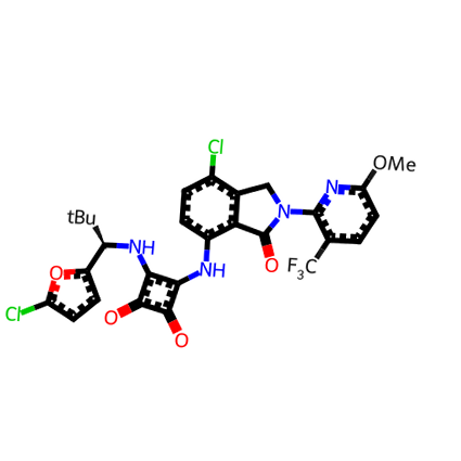 COc1ccc(C(F)(F)F)c(N2Cc3c(Cl)ccc(Nc4c(N[C@@H](c5ccc(Cl)o5)C(C)(C)C)c(=O)c4=O)c3C2=O)n1